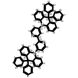 c1ccc(C2(c3ccccc3)c3ccccc3N(c3ccnc(-c4cc(N5c6ccccc6C(c6ccccc6)(c6ccccc6)c6ccccc65)ccn4)c3)c3ccccc32)cc1